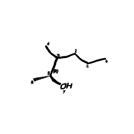 CCCC(C)[C@@H](C)O